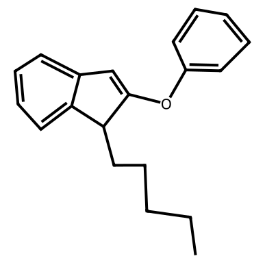 CCCCCC1C(Oc2ccccc2)=Cc2ccccc21